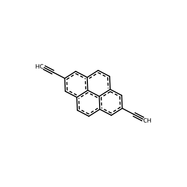 C#Cc1cc2ccc3cc(C#C)cc4ccc(c1)c2c34